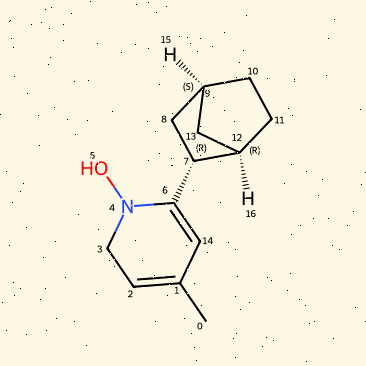 CC1=CCN(O)C([C@@H]2C[C@H]3CC[C@@H]2C3)=C1